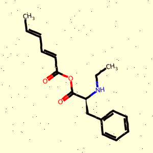 C/C=C/C=C/C(=O)OC(=O)[C@H](Cc1ccccc1)NCC